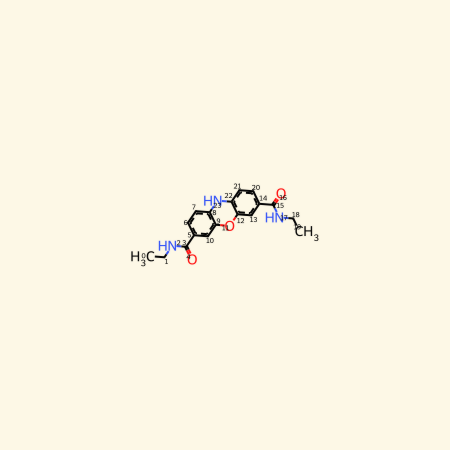 CCNC(=O)c1ccc2c(c1)Oc1cc(C(=O)NCC)ccc1N2